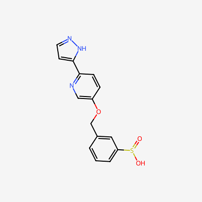 O=S(O)c1cccc(COc2ccc(-c3ccn[nH]3)nc2)c1